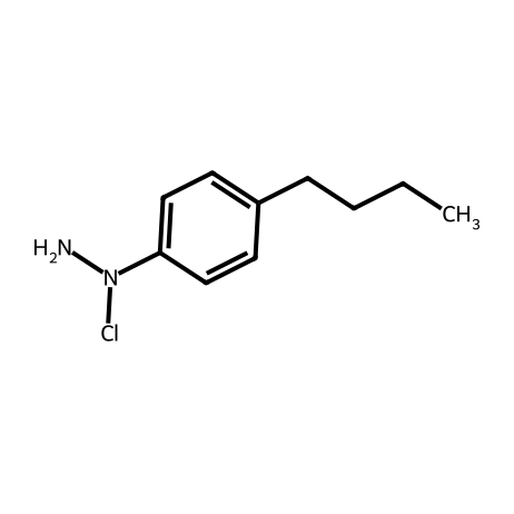 CCCCc1ccc(N(N)Cl)cc1